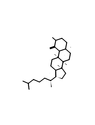 CC(C)CCC[C@H](C)[C@@H]1CC[C@H]2[C@H]3CC[C@@H]4CCC(O)C(=O)[C@]4(C)[C@H]3CC[C@@]21C